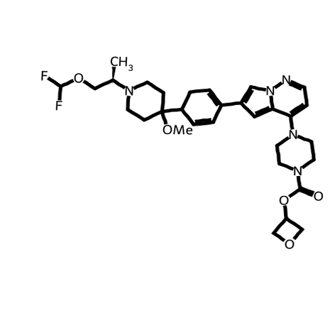 COC1(C2C=CC(c3cc4c(N5CCN(C(=O)OC6COC6)CC5)ccnn4c3)=CC2)CCN([C@H](C)COC(F)F)CC1